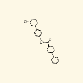 O=C(C1CC1c1ccc(C2CCCC(Cl)C2)cc1)N1CC=C(c2ccccc2)CC1